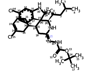 C=C(CC(C)C)[C@H]1N/C(=N\NC(=O)OC(C)(C)C)C[C@@H](C2C=CC=C(Cl)C2)[C@]12C(=O)Nc1cc(Cl)ccc12